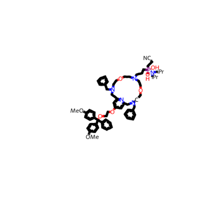 COc1ccc(C(OCCOc2cc3nc(c2)CN(Cc2ccccc2)CCOCCN(CCCP(O)(O)(CCC#N)N(C(C)C)C(C)C)CCOCCN(Cc2ccccc2)C3)(c2ccccc2)c2ccc(OC)cc2)cc1